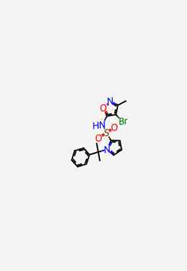 Cc1noc(NS(=O)(=O)c2cccn2C(C)(C)c2ccccc2)c1Br